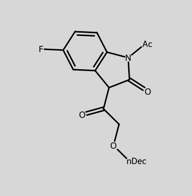 CCCCCCCCCCOCC(=O)C1C(=O)N(C(C)=O)c2ccc(F)cc21